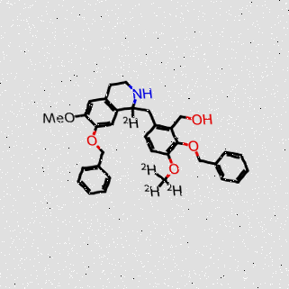 [2H]C([2H])([2H])Oc1ccc(CC2([2H])NCCc3cc(OC)c(OCc4ccccc4)cc32)c(CO)c1OCc1ccccc1